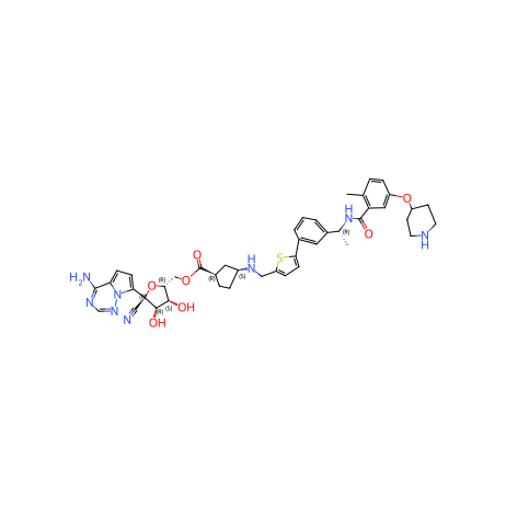 Cc1ccc(OC2CCNCC2)cc1C(=O)N[C@H](C)c1cccc(-c2ccc(CN[C@H]3CC[C@@H](C(=O)OC[C@H]4O[C@@](C#N)(c5ccc6c(N)ncnn56)[C@H](O)[C@@H]4O)C3)s2)c1